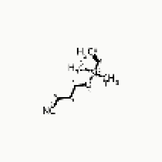 C=C[Si](C)(C)OCCCC#N